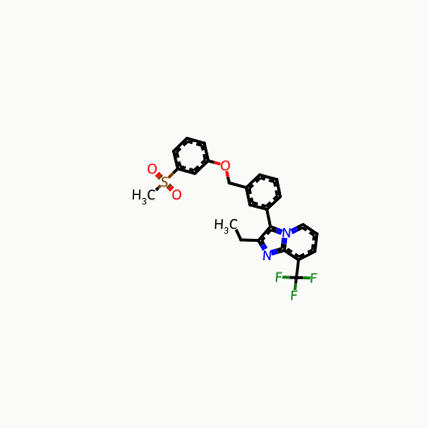 CCc1nc2c(C(F)(F)F)cccn2c1-c1cccc(COc2cccc(S(C)(=O)=O)c2)c1